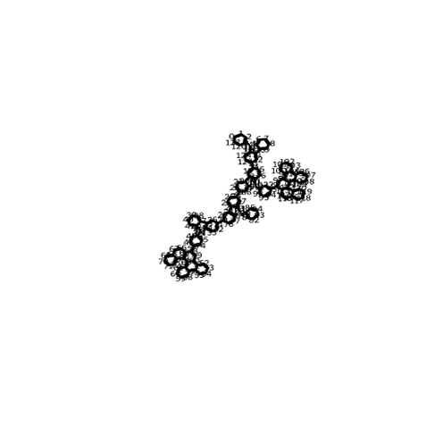 c1ccc(-n2c3ccccc3c3cc(-c4ccc5c(c4)c4ccc(-c6ccc7c8cc(-c9ccc%10c(c9)c9ccccc9n%10-c9ccc(-c%10cc%11c%12ccccc%12c%12ccccc%12c%11c%11c%10ccc%10ccccc%10%11)cc9)ccc8n(-c8ccccc8)c7c6)cc4n5-c4cccc(-c5cc6c7ccccc7c7ccccc7c6c6c5ccc5ccccc56)c4)ccc32)cc1